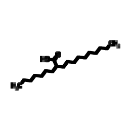 CCCCCCCCCCC(CCCCCCC)C(=O)O